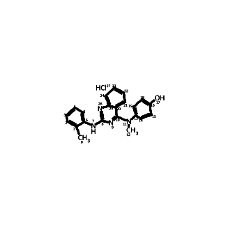 Cc1ccccc1Nc1nc(N(C)c2ccc(O)cc2)c2ccccc2n1.Cl